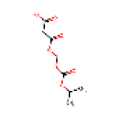 CC(C)OC(=O)OCOC(=O)CC(=O)O